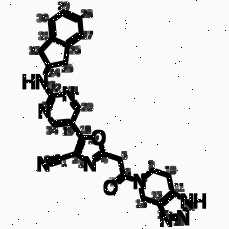 N#Cc1nc(CC(=O)N2CCc3[nH]nnc3C2)oc1-c1cnc(NC2Cc3ccccc3C2)nc1